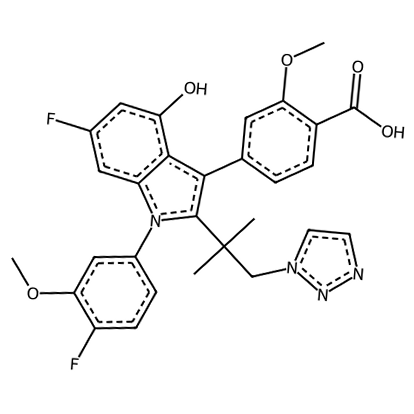 COc1cc(-n2c(C(C)(C)Cn3ccnn3)c(-c3ccc(C(=O)O)c(OC)c3)c3c(O)cc(F)cc32)ccc1F